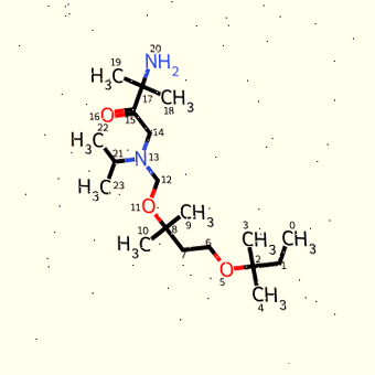 CCC(C)(C)OCCC(C)(C)OCN(CC(=O)C(C)(C)N)C(C)C